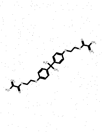 C=C(C)C(=O)OCCOc1ccc(C(C)(C)c2ccc(OCCOC(=O)C(=C)C)cc2)cc1